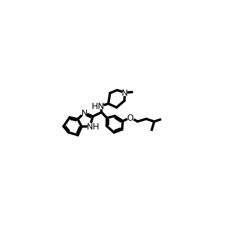 CC(C)CCOc1cccc(C(NC2CCN(C)CC2)c2nc3ccccc3[nH]2)c1